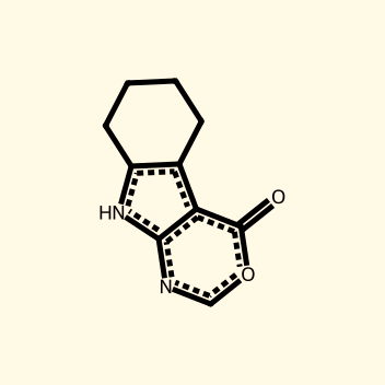 O=c1ocnc2[nH]c3c(c12)CCCC3